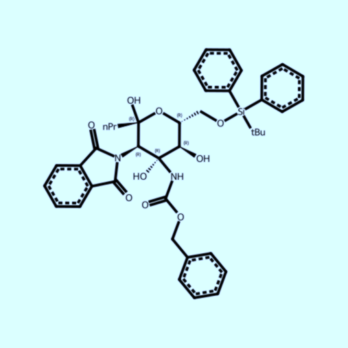 CCC[C@@]1(O)O[C@H](CO[Si](c2ccccc2)(c2ccccc2)C(C)(C)C)[C@@H](O)[C@@](O)(NC(=O)OCc2ccccc2)[C@H]1N1C(=O)c2ccccc2C1=O